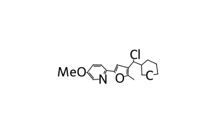 COc1ccc(-c2cc(C(Cl)C3CCCCC3)c(C)o2)nc1